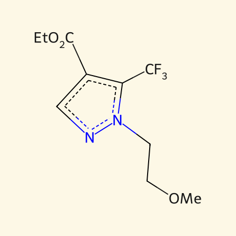 CCOC(=O)c1cnn(CCOC)c1C(F)(F)F